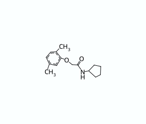 Cc1ccc(C)c(OCC(=O)NC2CCCC2)c1